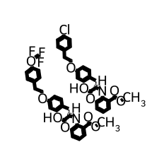 COC(=O)c1ccccc1N[C@@H](Cc1ccc(OCCc2ccc(Cl)cc2)cc1)C(=O)O.COC(=O)c1ccccc1N[C@@H](Cc1ccc(OCCc2ccc(OC(F)(F)F)cc2)cc1)C(=O)O